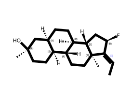 C/C=C1/[C@H](F)C[C@H]2[C@@H]3CC[C@@H]4C[C@](C)(O)CC[C@@H]4[C@H]3CC[C@]12C